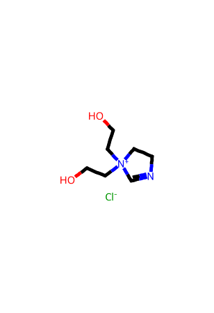 OCC[N+]1(CCO)C=NCC1.[Cl-]